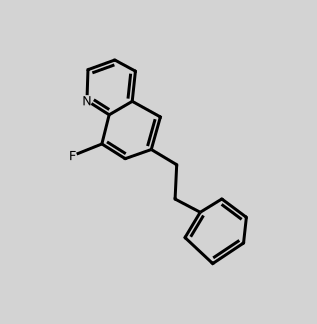 Fc1cc(CCc2ccccc2)cc2cccnc12